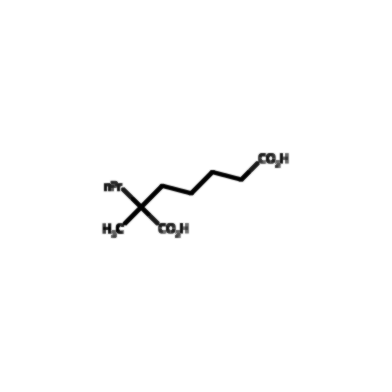 CCCC(C)(CCCCC(=O)O)C(=O)O